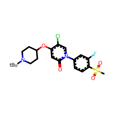 CC(C)(C)N1CCC(Oc2cc(=O)n(-c3ccc(S(C)(=O)=O)c(F)c3)cc2Cl)CC1